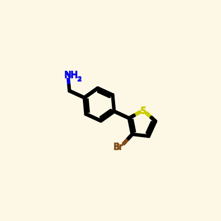 NCc1ccc(-c2sccc2Br)cc1